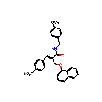 COc1ccc(CNC(=O)/C(=C/c2ccc(C(=O)O)cc2)COc2cccc3ccccc23)cc1